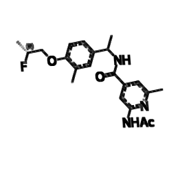 CC(=O)Nc1cc(C(=O)NC(C)c2ccc(OC[C@@H](C)F)c(C)c2)cc(C)n1